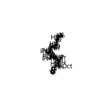 CCCCCCCCC(NC(=O)C1CCc2ccccc2C1)C(=O)NC(CC(C)C)C(=O)NC(C)(C)C(=O)NC(CC(C)C)C(=O)NC(CC(C)C)C(=O)NC(C)(C)C(=O)NC(C)(C)C(=O)NCCC(=O)NC(C)CN(C)C